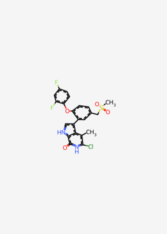 Cc1c(Cl)[nH]c(=O)c2[nH]cc(-c3cc(CS(C)(=O)=O)ccc3Oc3ccc(F)cc3F)c12